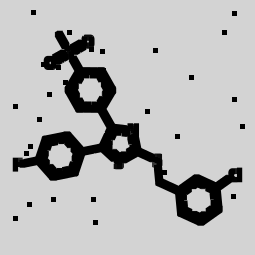 CS(=O)(=O)c1ccc(-c2nc(SCc3cccc(Cl)c3)sc2-c2ccc(F)cc2)cc1